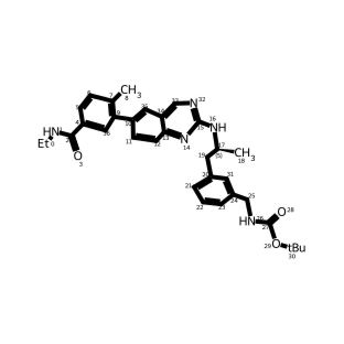 CCNC(=O)c1ccc(C)c(-c2ccc3nc(N[C@@H](C)Cc4cccc(CNC(=O)OC(C)(C)C)c4)ncc3c2)c1